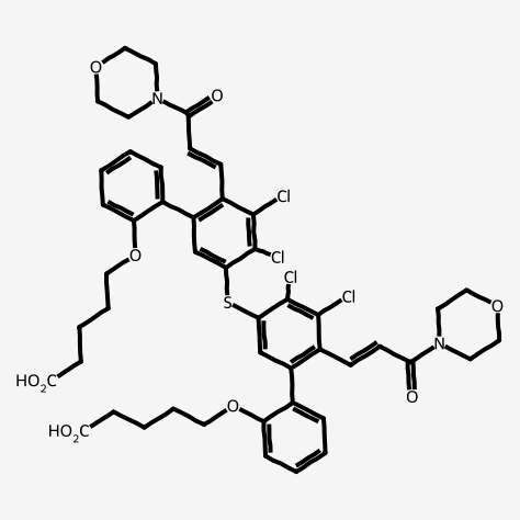 O=C(O)CCCCOc1ccccc1-c1cc(Sc2cc(-c3ccccc3OCCCCC(=O)O)c(/C=C/C(=O)N3CCOCC3)c(Cl)c2Cl)c(Cl)c(Cl)c1/C=C/C(=O)N1CCOCC1